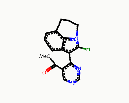 COC(=O)c1cncnc1-c1c(Cl)n2c3c(cccc13)CCC2